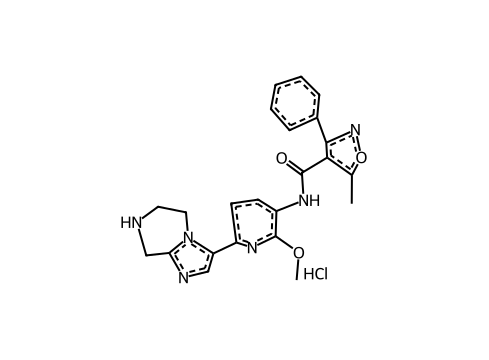 COc1nc(-c2cnc3n2CCNC3)ccc1NC(=O)c1c(-c2ccccc2)noc1C.Cl